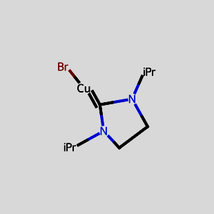 CC(C)N1CCN(C(C)C)[C]1=[Cu][Br]